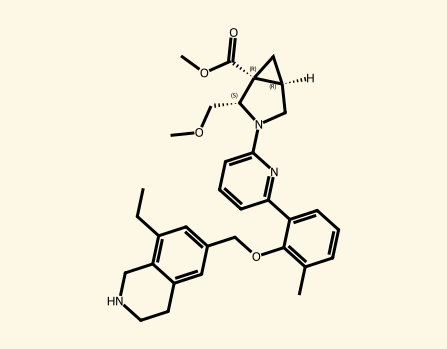 CCc1cc(COc2c(C)cccc2-c2cccc(N3C[C@@H]4C[C@]4(C(=O)OC)[C@H]3COC)n2)cc2c1CNCC2